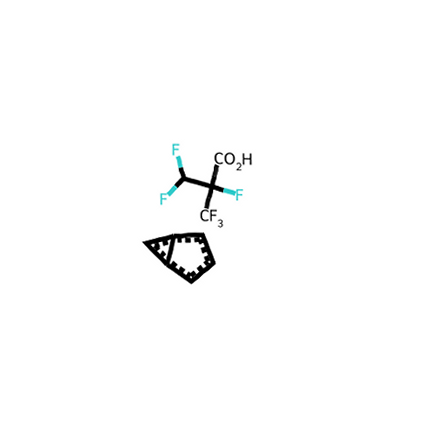 O=C(O)C(F)(C(F)F)C(F)(F)F.c1cc2cc-2c1